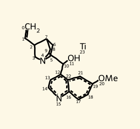 C=CC1CN2CCC1CC2C(O)c1ccnc2ccc(OC)cc12.[Ti]